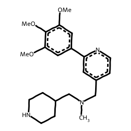 COc1cc(-c2cc(CN(C)CC3CCNCC3)ccn2)cc(OC)c1OC